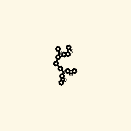 c1ccc(-n2c3ccc(-c4cccc(-c5ccc(N(c6ccc7c(c6)oc6ccccc67)c6ccc7c(c6)oc6ccccc67)cc5)c4)cc3c3cc4ccc5sc6ccccc6c5c4cc32)cc1